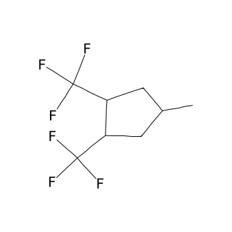 CC1CC(C(F)(F)F)C(C(F)(F)F)C1